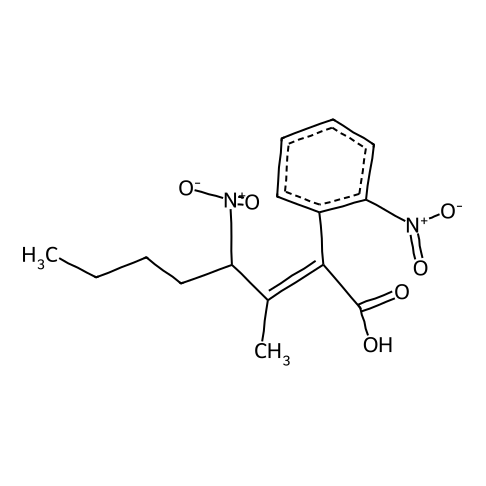 CCCCC(C(C)=C(C(=O)O)c1ccccc1[N+](=O)[O-])[N+](=O)[O-]